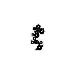 COC1CN(C(=O)c2cc(C)ccc2C)CC1Oc1cccc(CS(=O)(=O)N2CCCC2c2ccccn2)c1F